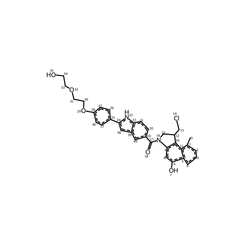 Cc1cccc2c(O)cc3c(c12)C(CCl)CN3C(=O)c1ccc2[nH]c(-c3ccc(OCCOCCO)cc3)cc2c1